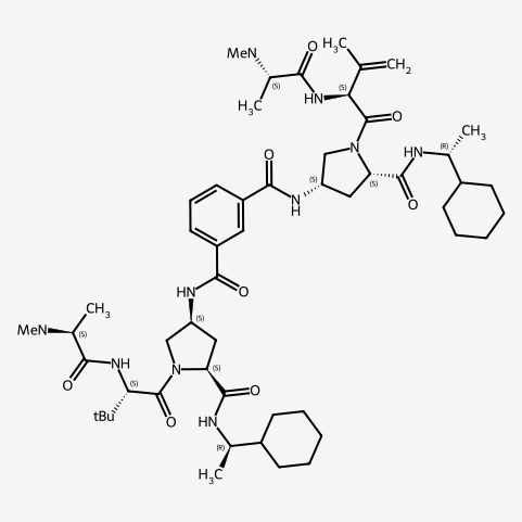 C=C(C)[C@H](NC(=O)[C@H](C)NC)C(=O)N1C[C@@H](NC(=O)c2cccc(C(=O)N[C@H]3C[C@@H](C(=O)N[C@H](C)C4CCCCC4)N(C(=O)[C@@H](NC(=O)[C@H](C)NC)C(C)(C)C)C3)c2)C[C@H]1C(=O)N[C@H](C)C1CCCCC1